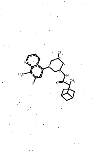 Cc1c(F)cc(N2C[C@H](NC(=O)CC3C4CC3CN(C)C4)C[C@H](C(F)(F)F)C2)c2cccnc12